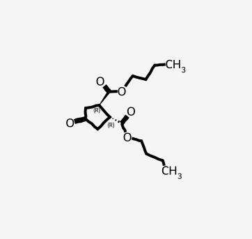 CCCCOC(=O)[C@@H]1CC(=O)C[C@H]1C(=O)OCCCC